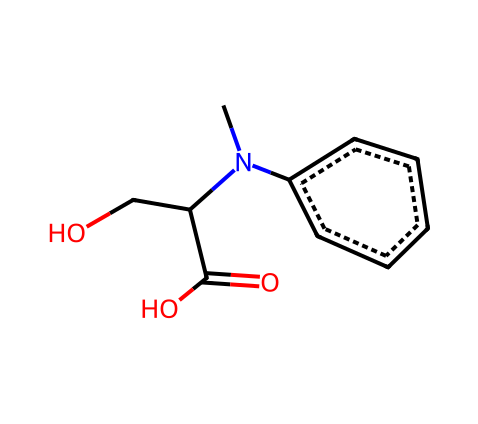 CN(c1ccccc1)C(CO)C(=O)O